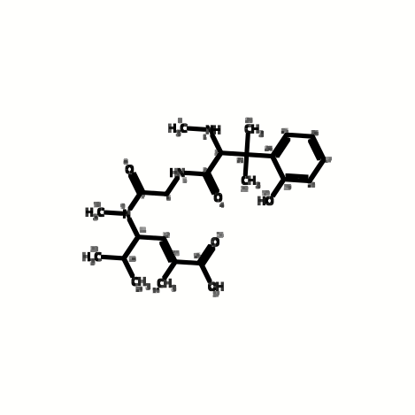 CNC(C(=O)NCC(=O)N(C)C(/C=C(\C)C(=O)O)C(C)C)C(C)(C)c1ccccc1O